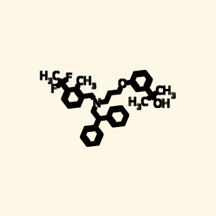 Cc1c(CN(CCCOc2cccc(C(C)(C)O)c2)CC(C2=CCCC=C2)c2ccccc2)cccc1C(C)(F)F